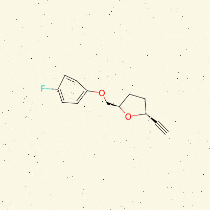 C#C[C@@H]1CC[C@H](COc2ccc(F)cc2)O1